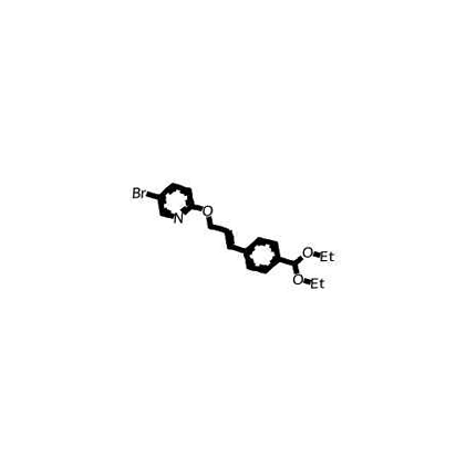 CCOC(OCC)c1ccc(/C=C/COc2ccc(Br)cn2)cc1